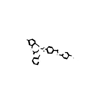 COc1ccc(NC(=O)c2ccc(S(=O)(=O)N3Cc4ccc(Cl)cc4NC(=O)[C@H]3Cc3ccccn3)cc2)nc1